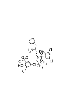 CC(C)CN(C[C@@H](O)[C@@H](N)Cc1ccccc1)S(=O)(=O)c1cc(Cl)cc(Cl)c1O.O=S(=O)(Cl)c1cc(Cl)cc(Cl)c1O